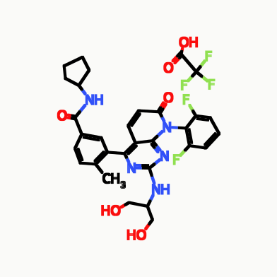 Cc1ccc(C(=O)NC2CCCC2)cc1-c1nc(NC(CO)CO)nc2c1ccc(=O)n2-c1c(F)cccc1F.O=C(O)C(F)(F)F